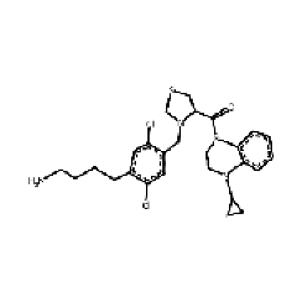 NCCCCc1cc(Cl)c(CN2CSCC2C(=O)N2CCN(C3CC3)c3ccccc32)cc1Cl